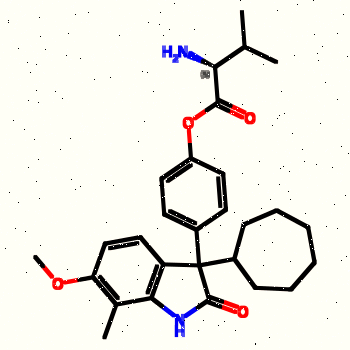 COc1ccc2c(c1C)NC(=O)C2(c1ccc(OC(=O)[C@@H](N)C(C)C)cc1)C1CCCCCC1